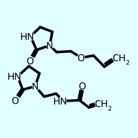 C=CC(=O)NCCN1CCNC1=O.C=CCOCCN1CCNC1=O